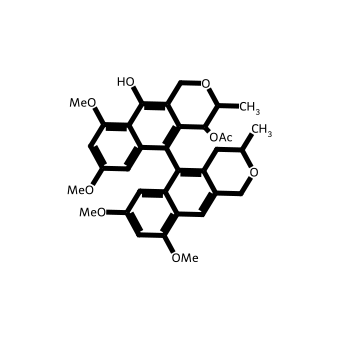 COc1cc(OC)c2cc3c(c(-c4c5c(c(O)c6c(OC)cc(OC)cc46)COC(C)C5OC(C)=O)c2c1)CC(C)OC3